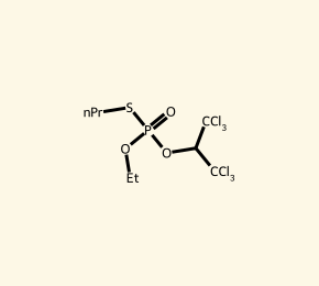 CCCSP(=O)(OCC)OC(C(Cl)(Cl)Cl)C(Cl)(Cl)Cl